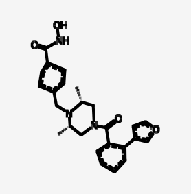 C[C@@H]1CN(C(=O)c2ccccc2-c2ccoc2)C[C@H](C)N1Cc1ccc(C(=O)NO)cc1